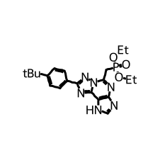 CCOP(=O)(Cc1nc2nc[nH]c2c2nc(-c3ccc(C(C)(C)C)cc3)nn12)OCC